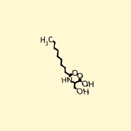 CCCCCCCCCC(=O)NC(CO)C(=O)O